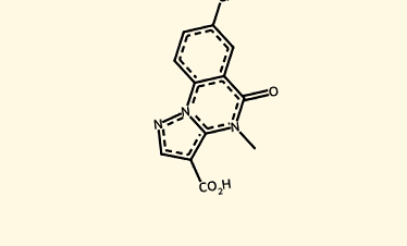 Cn1c(=O)c2cc(Cl)ccc2n2ncc(C(=O)O)c12